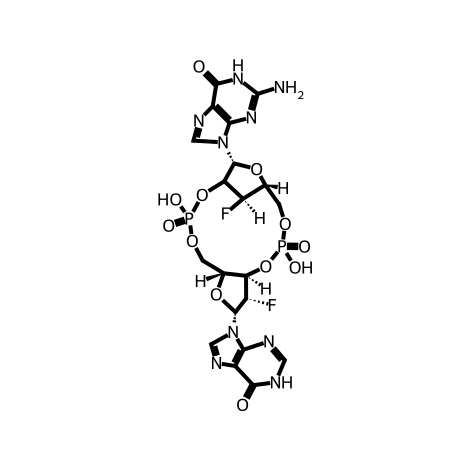 Nc1nc2c(ncn2[C@@H]2O[C@@H]3COP(=O)(O)O[C@H]4[C@H](F)[C@H](n5cnc6c(=O)[nH]cnc65)O[C@@H]4COP(=O)(O)OC2[C@@H]3F)c(=O)[nH]1